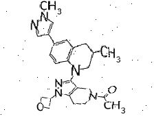 CC(=O)N1CCc2c(c(N3CC(C)Cc4cc(-c5cnn(C)c5)ccc43)nn2C2COC2)C1